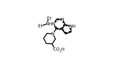 CCNCC.O=C(O)C1CCCN(c2ncnc3[nH]ccc23)C1